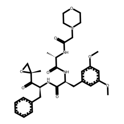 COc1cc(C[C@H](NC(=O)[C@H](C)NC(=O)CN2CCOCC2)C(=O)N[C@@H](Cc2ccccc2)C(=O)[C@@]2(C)CO2)cc(OC)c1